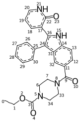 CCOC(=O)N1CCN(C(=O)c2ccc3[nH]c(-c4ccc[nH]c4=O)c(-c4ccccc4)c3c2)CC1